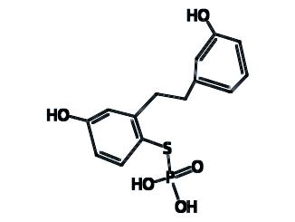 O=P(O)(O)Sc1ccc(O)cc1CCc1cccc(O)c1